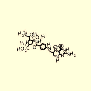 NCC(O)C(N)C(CCC(=O)O)(NC(=O)c1ccc(NCC2CNc3nc(N)[nH]c(=O)c3N2C=O)cc1)C(=O)O